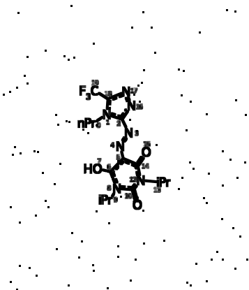 CCCn1c(N=Nc2c(O)n(C(C)C)c(=O)n(C(C)C)c2=O)nnc1C(F)(F)F